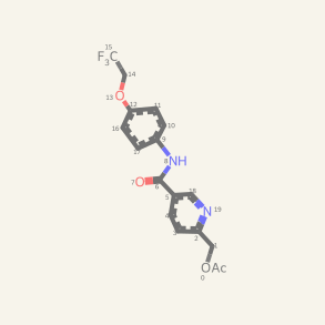 CC(=O)OCc1ccc(C(=O)Nc2ccc(OCC(F)(F)F)cc2)cn1